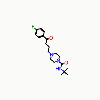 CC(C)(C)NC(=O)N1CCN(CCCC(=O)c2ccc(F)cc2)CC1